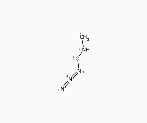 CNON=[N+]=[N-]